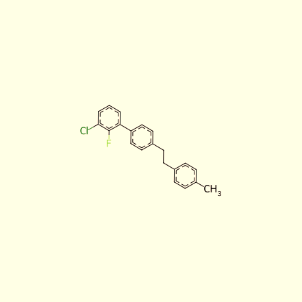 Cc1ccc(CCc2ccc(-c3cccc(Cl)c3F)cc2)cc1